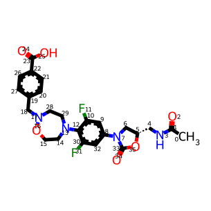 CC(=O)NC[C@H]1CN(c2cc(F)c(N3CCON(Cc4ccc(C(=O)O)cc4)CC3)c(F)c2)C(=O)O1